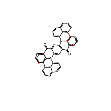 O=c1c2ccccc2n(-c2cccc3cccc(C4CCCCC4)c23)c2cc3c(=O)c4ccccc4n(-c4cccc5cccc(C6CCCCC6)c45)c3cc12